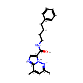 Cc1cc(C)c2ncc(C(=O)NCCCCc3ccccc3)n2n1